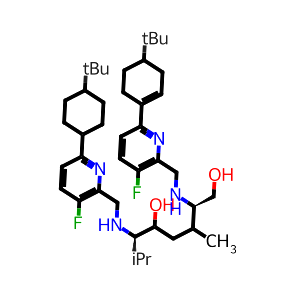 CC(C)[C@@H](NCc1nc(C2CCC(C(C)(C)C)CC2)ccc1F)C(O)CC(C)[C@H](CO)NCc1nc(C2=CCC(C(C)(C)C)CC2)ccc1F